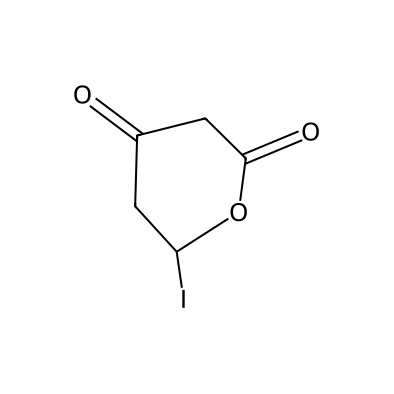 O=C1CC(=O)OC(I)C1